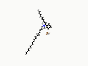 CCCCCCCCCCCCCCCCCC[N+](C)(C)C(CCCCCCCCCC)c1ccccc1.[Br-]